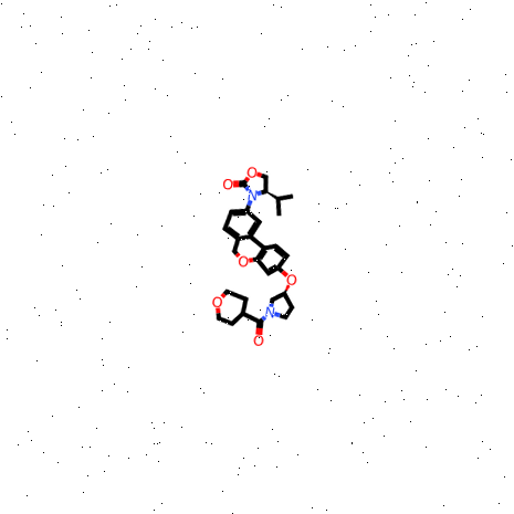 CC(C)[C@@H]1COC(=O)N1c1ccc2c(c1)-c1ccc(O[C@H]3CCN(C(=O)C4CCOCC4)C3)cc1OC2